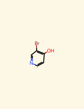 Oc1c[c]ncc1Br